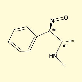 CN[C@@H](C)[C@H](N=O)c1ccccc1